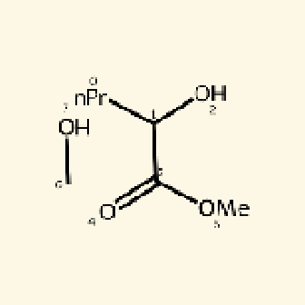 CCCC(O)C(=O)OC.CO